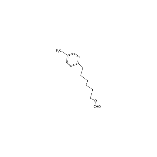 O=COCCCCCCc1ccc(C(F)(F)F)cc1